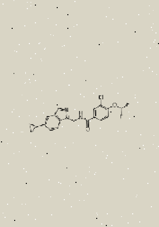 O=C(NCn1ncc2cc(C3CC3)ccc21)c1ccc(OC(F)F)c(Cl)c1